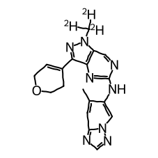 [2H]C([2H])([2H])n1nc(C2=CCOCC2)c2nc(Nc3cn4ncnc4cc3C)ncc21